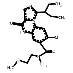 CCC(CC)c1ncc2c(=O)[nH]c3cc(C(=O)N(C)CCOC)c(Cl)cc3n12